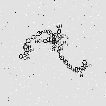 C#Cc1ccc([C@H](C)NC(=O)[C@@H]2C[C@@H](O)CN2C(=O)[C@H](c2cc(OCCN3CCC(N4CCC(N5CCC(CN6CCN7c8cc(-c9ccccc9O)nnc8NC[C@H]7C6)CC5)CC4)CC3)no2)C(C)Cc2cc(C#C)ccc2[C@H](C)NC(=O)[C@@H]2C[C@@H](O)CN2C(=O)[C@@H](c2cc(OCCN3CCC(N4CCC(N5CCC(CN6CCN7c8cc(-c9ccccc9O)nnc8NC[C@H]7C6)CC5)CC4)CC3)no2)C(C)C)cc1